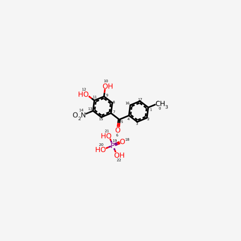 Cc1ccc(C(=O)c2cc(O)c(O)c([N+](=O)[O-])c2)cc1.O=P(O)(O)O